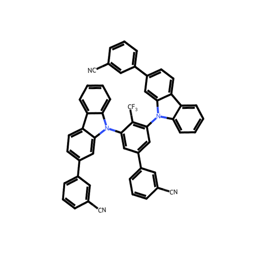 N#Cc1cccc(-c2cc(-n3c4ccccc4c4ccc(-c5cccc(C#N)c5)cc43)c(C(F)(F)F)c(-n3c4ccccc4c4ccc(-c5cccc(C#N)c5)cc43)c2)c1